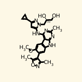 COc1cc2c(cc1-c1c(C)noc1C)[nH]c1nc(C)nc(Nc3cc(C4CC4)nn3C[C@H](O)CO)c12